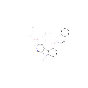 COCc1c(C(=O)OC(C)C)ncc2[nH]c3cccc(ON4C=Cc5ccccc5C4)c3c12